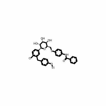 CCOc1ccc(Cc2cc([C@@H]3O[C@H](CSc4ccc(NC(=O)c5ccccc5)cc4)[C@H](O)[C@@H](O)[C@H]3O)ccc2Cl)cc1